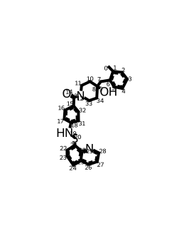 Cc1ccccc1CC1(O)CCN(C(=O)c2ccc(NSc3cccc4cccnc34)cc2)CC1